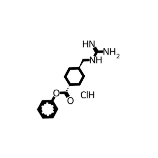 Cl.N=C(N)NC[C@H]1CC[C@H](C(=O)Oc2ccccc2)CC1